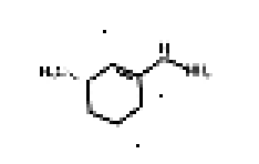 C[C@@H]1C=C(NN)CCC1